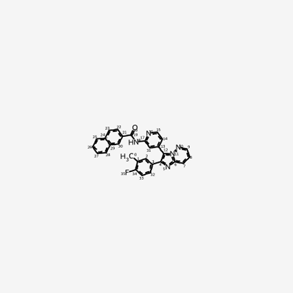 Cc1cc(-c2nc3cccnn3c2-c2ccnc(NC(=O)c3ccc4ccccc4c3)c2)ccc1F